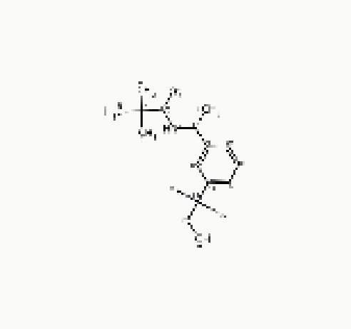 C[C@@H](N[S+]([O-])C(C)(C)C)c1cccc(C(F)(F)CO)c1